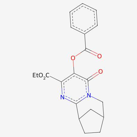 CCOC(=O)c1nc2n(c(=O)c1OC(=O)c1ccccc1)CC1CCC2C1